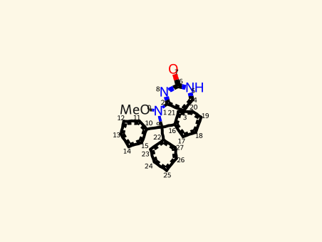 CON(c1cc[nH]c(=O)n1)C(c1ccccc1)(c1ccccc1)c1ccccc1